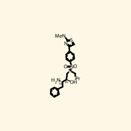 CNc1nc(-c2ccc(S(=O)(=O)N(CC(C)C)C[C@@H](O)[C@@H](N)Cc3ccccc3)cc2)cs1